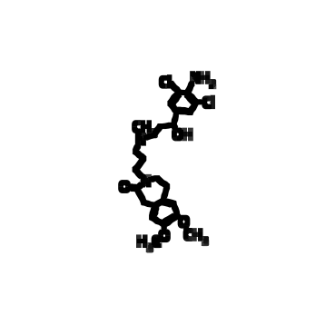 COc1cc2c(cc1OC)CC(=O)N(CCCN(C)CCC(O)c1cc(Cl)c(N)c(Cl)c1)CC2